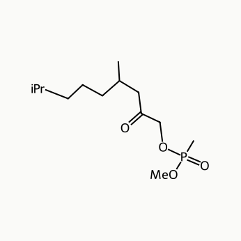 COP(C)(=O)OCC(=O)CC(C)CCCC(C)C